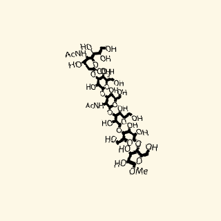 COC1OC(CO)C(OC2OC(CO)C(OC3OC(CO)C(O)C(OC4OC(CO)C(O)C(OC5OC(CO)C(O)C(O[C@]6(C(=O)O)C[C@@H](O)C(NC(C)=O)C([C@H](O)[C@H](O)CO)O6)C5O)C4NC(C)=O)C3O)C(O)C2O)C(O)C1O